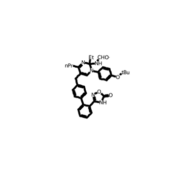 CCCC1=NC(CC)(N[C]=O)N(c2ccc(OC(C)(C)C)cc2)C=C1Cc1ccc(-c2ccccc2-c2noc(=O)[nH]2)cc1